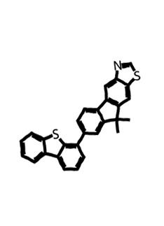 CC1(C)c2cc(-c3cccc4c3sc3ccccc34)ccc2-c2cc3ncsc3cc21